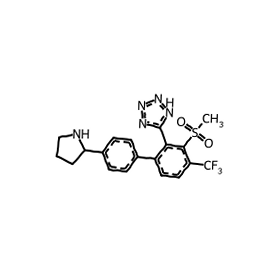 CS(=O)(=O)c1c(C(F)(F)F)ccc(-c2ccc(C3CCCN3)cc2)c1-c1nnn[nH]1